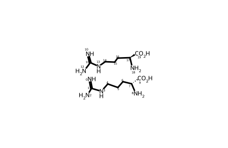 N=C(N)NCCC[C@@H](N)C(=O)O.N=C(N)NCCC[C@H](N)C(=O)O